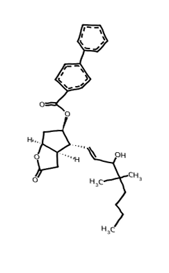 CCCCC(C)(C)C(O)C=C[C@@H]1[C@H]2CC(=O)O[C@H]2C[C@H]1OC(=O)c1ccc(-c2ccccc2)cc1